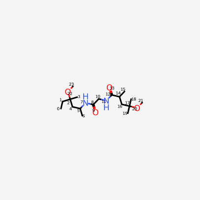 CCC(C)(CC(C)NC(=O)CNC(=O)C(C)CC(C)(C)OC)OC